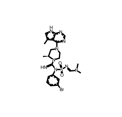 Cc1c[nH]c2ncnc(N3CCN(C(=N)N(c4cccc(Br)c4)S(=O)(=O)/N=C/N(C)C)[C@@H](C)C3)c12